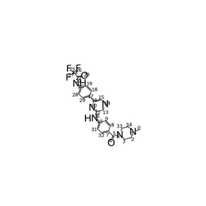 CN1CCN(C(=O)c2ccc(Nc3cncc(-c4ccc(NC(=O)C(F)(F)F)cc4)n3)cc2)CC1